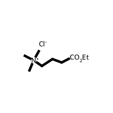 CCOC(=O)CCC[N+](C)(C)C.[Cl-]